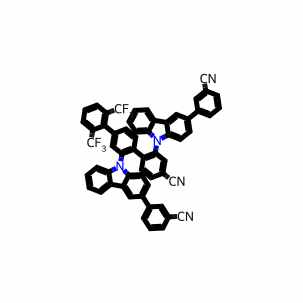 N#Cc1cccc(-c2ccc3c(c2)c2ccccc2n3-c2cc(C#N)ccc2-c2ccc(-c3c(C(F)(F)F)cccc3C(F)(F)F)cc2-n2c3ccccc3c3cc(-c4cccc(C#N)c4)ccc32)c1